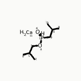 CC(C)CO[PH](=O)CC(C)C.[CaH2]